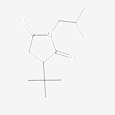 CC(C)CN1C(=O)CC(C(C)(C)C)C1=O